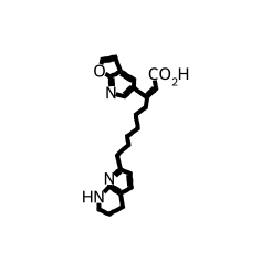 O=C(O)C=C(CCCCCCc1ccc2c(n1)NCCC2)c1cnc2occc2c1